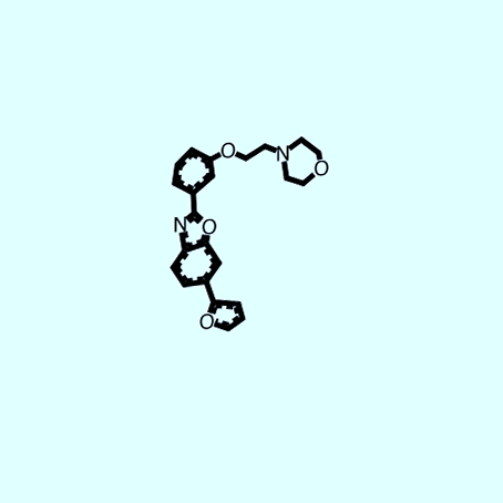 c1cc(OCCN2CCOCC2)cc(-c2nc3ccc(-c4ccco4)cc3o2)c1